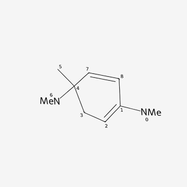 CNC1=CCC(C)(NC)C=C1